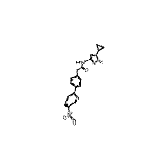 O=C(Cc1ccc(-c2ccc([N+](=O)[O-])cn2)cc1)Nc1cc(C2CC2)[nH]n1